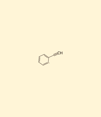 C#Cc1[c]cccc1